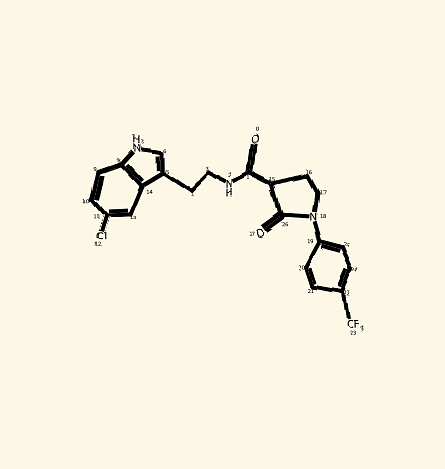 O=C(NCCc1c[nH]c2ccc(Cl)cc12)C1CCN(c2ccc(C(F)(F)F)cc2)C1=O